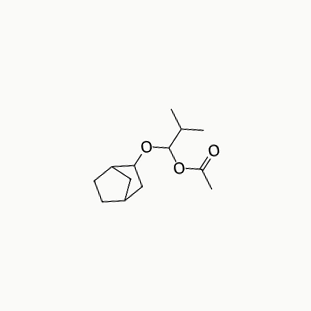 CC(=O)OC(OC1CC2CCC1C2)C(C)C